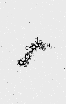 CS(=O)(=O)OC1C(=O)Nc2cc(Cl)c(CCN3CCN(c4nsc5ccccc45)CC3)cc21